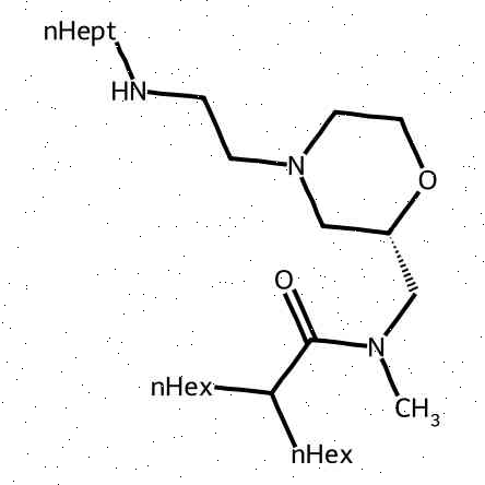 CCCCCCCNCCN1CCO[C@H](CN(C)C(=O)C(CCCCCC)CCCCCC)C1